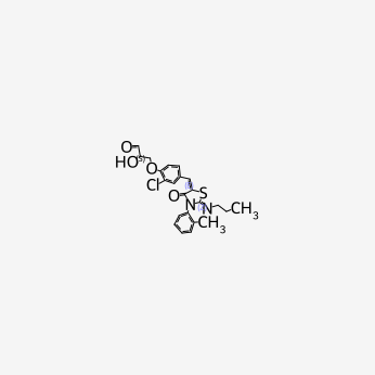 CCC/N=C1\S/C(=C/c2ccc(OC[C@H](O)C=O)c(Cl)c2)C(=O)N1c1ccccc1C